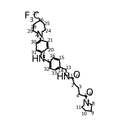 O=C(CCCC(=O)N1CCCC1)NCc1ccc(Nc2ccc(N3CCC(C(F)(F)F)CC3)cc2)cc1